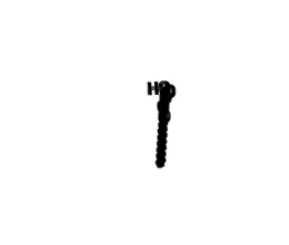 CCCCCCCCCCCCCCCCOCCOCCOCC(=O)O